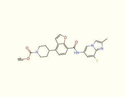 Cc1cn2cc(NC(=O)c3ccc(C4CCN(C(=O)OC(C)(C)C)CC4)c4ccoc34)cc(F)c2n1